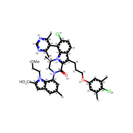 COCCn1c(C(=O)O)cc2cc(C)cc(N3C[C@@H](C)n4c(c(CCCOc5cc(C)c(Cl)c(C)c5)c5ccc(Cl)c(-c6c(C)ncnc6C)c54)C3=O)c21